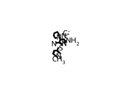 [C-]#[N+]c1c(N)nc(SCc2ccc(C)nc2)c(C#N)c1N1CCCCC1